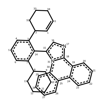 C1=CC(c2cccc(C3CCCCC3)c2-c2cnc3c4ccccc4c4ccccc4n23)CCC1